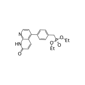 CCOP(=O)(Cc1ccc(-c2ccnc3[nH]c(=O)ccc23)cc1)OCC